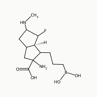 CNC1CC2CC(N)(C(=O)O)C(CCCB(O)O)[C@@H]2C1F